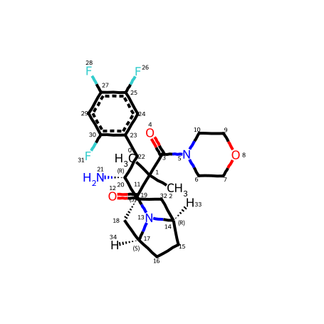 CC(C)(C(=O)N1CCOCC1)C(=O)N1[C@@H]2CC[C@H]1C[C@H]([C@H](N)Cc1cc(F)c(F)cc1F)C2